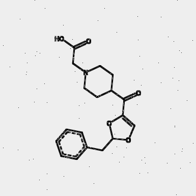 O=C(O)CN1CCC(C(=O)C2=COC(Cc3ccccc3)O2)CC1